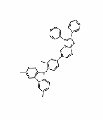 Cc1ccc2c(c1)c1cc(C)ccc1n2-c1ccc(-c2cnc3nc(-c4ccccc4)c(-c4ccccc4)n3c2)cc1C